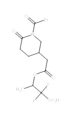 CCC(=O)N1CC(CC(=O)OC(C)C(F)(F)S(=O)(=O)O)CCC1=O